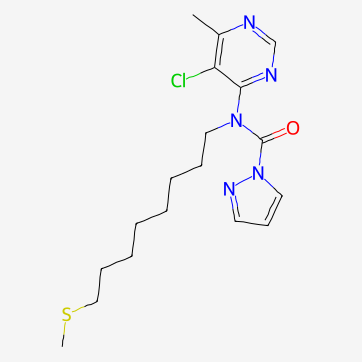 CSCCCCCCCCN(C(=O)n1cccn1)c1ncnc(C)c1Cl